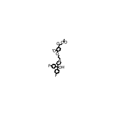 COc1cc(C(=O)COC(C)=O)ccc1OCCCN1CCC(C(O)(c2ccc(F)cc2)c2ccc(F)cc2)CC1